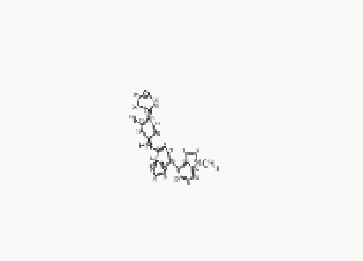 Cn1ccc2c(-c3ccc(Nc4ccc(N5CCOCC5)c(I)c4)c4nccn34)cccc21